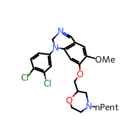 CCCCCN1CCOC(COc2cc3c(cc2OC)C=NCN3c2ccc(Cl)c(Cl)c2)C1